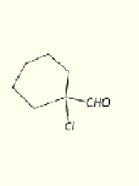 O=CC1(Cl)CCCCC1